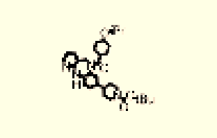 CC(C)OC1CCC(C(=O)N2Cc3cccnc3Nc3ccc(C4CCN(C(=O)OC(C)(C)C)CC4)cc32)CC1